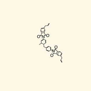 C=CCC1=CC2CC1C1C(=O)N(C3=CC(C)C(Cc4ccc(N5C(=O)C6C7C=C(CC=C)C(C7)C6C5=O)cc4)C=C3)C(=O)C21